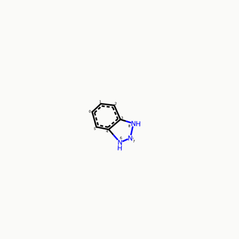 c1ccc2c(c1)N[N]N2